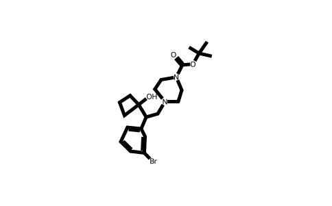 CC(C)(C)OC(=O)N1CCN(CC(c2cccc(Br)c2)C2(O)CCC2)CC1